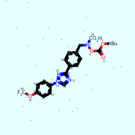 CC(C)(C)OC(=O)ON(Cc1ccc(-c2ncn(-c3ccc(OC(F)(F)F)cc3)n2)cc1)C(=O)O